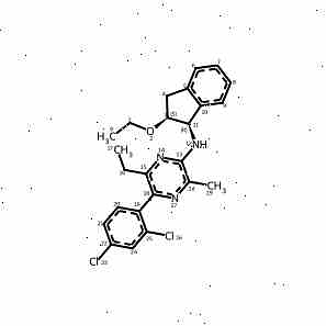 CCO[C@H]1Cc2ccccc2[C@H]1Nc1nc(CC)c(-c2ccc(Cl)cc2Cl)nc1C